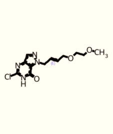 COCCOC/C=C/Cn1ncc2nc(Cl)[nH]c(=O)c21